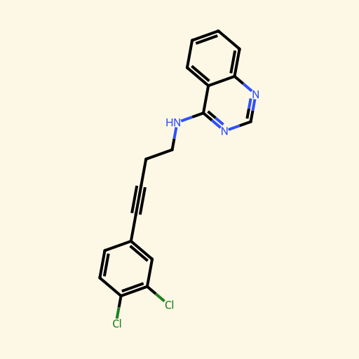 Clc1ccc(C#CCCNc2ncnc3ccccc23)cc1Cl